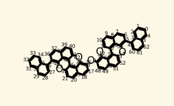 c1ccc2c(-c3ccc4ccc5oc6c(Oc7ccc8ccc9oc%10c(-c%11cccc%12ccccc%11%12)ccc%11ccc%12oc7c8c9-c%12c%11%10)ccc7ccc8oc3c4c5-c8c76)cccc2c1